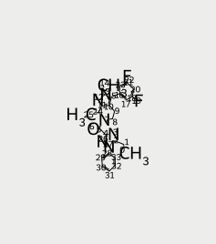 CCc1nc(C(=O)N2CCc3c(nn(C)c3-c3cc(F)cc(F)c3)[C@@H]2C)nn1-c1ccccc1